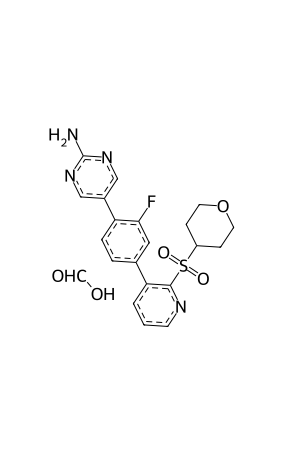 Nc1ncc(-c2ccc(-c3cccnc3S(=O)(=O)C3CCOCC3)cc2F)cn1.O=CO